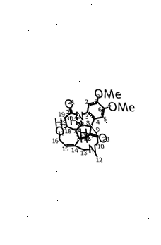 COc1cc2c(cc1OC)[C@@]13CCN(C)CC4=CCO[C@H]5CC(=O)N2[C@H]1[C@H]5[C@H]4CC3=O